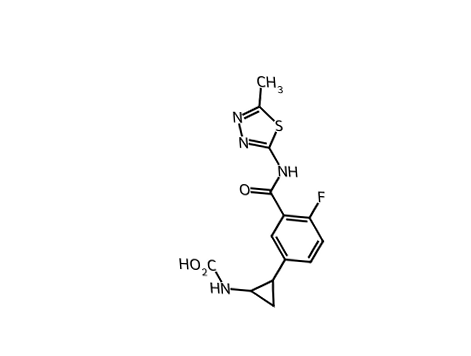 Cc1nnc(NC(=O)c2cc(C3CC3NC(=O)O)ccc2F)s1